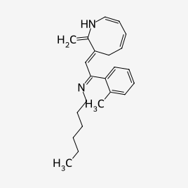 C=C1N/C=C\C=C/C/C1=C\C(=N\CCCCCC)c1ccccc1C